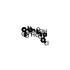 CS(=O)(=O)Nc1ccccc1-c1ccc(CNC(=O)[C@H](O)[C@@H](O)C(=O)N2CCCC2c2cccc(Cl)c2)cn1